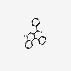 O=C(C1=CNc2ccccc2C1c1ccccc1)c1ccccc1